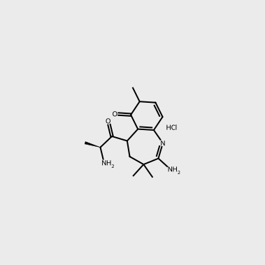 CC1C=CC2=C(C1=O)C(C(=O)[C@H](C)N)CC(C)(C)C(N)=N2.Cl